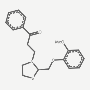 COc1ccccc1OC[C@H]1SCCN1CCC(=O)c1ccccc1